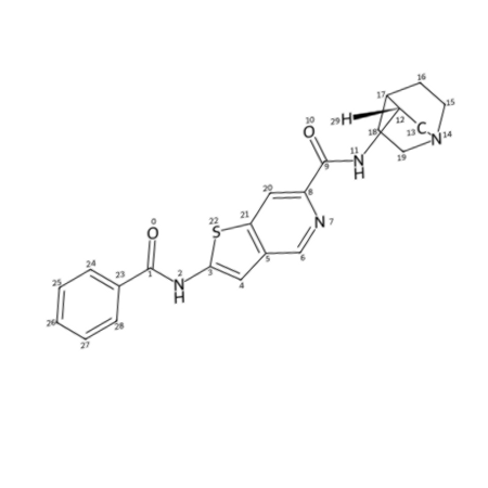 O=C(Nc1cc2cnc(C(=O)N[C@H]3CN4CCC3CC4)cc2s1)c1ccccc1